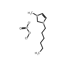 CCCCCCN1C=CN(C)C1.O=[N+]([O-])OCl